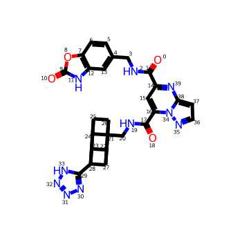 O=C(NCc1ccc2oc(=O)[nH]c2c1)c1cc(C(=O)NCC23C4C5C2C2C3C4C52c2nnn[nH]2)n2nccc2n1